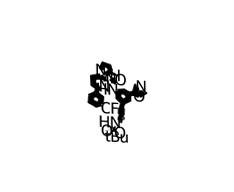 CC(C)(C)OC(=O)NCC#Cc1cc(NC(=O)N2c3nc(-c4cccc(C(F)(F)F)c4)ccc3N3CC[C@H]2C3)cc(-c2cnco2)c1